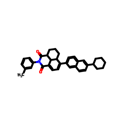 Cc1cccc(N2C(=O)C3=CC=C(C4=C=C=c5cc(C6CCCCC6)ccc5=C4)C4CCCC(C2=O)C34)c1